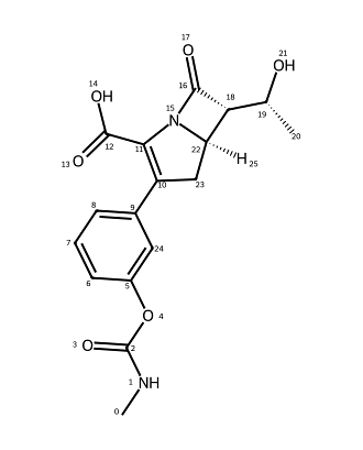 CNC(=O)Oc1cccc(C2=C(C(=O)O)N3C(=O)[C@H]([C@@H](C)O)[C@H]3C2)c1